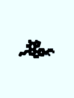 CCCCc1cc(O)c(-c2ccc([C@@H](C)N)cc2)c2c1[nH]c(=O)c1sccc12